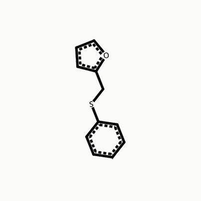 [c]1ccc(SCc2ccco2)cc1